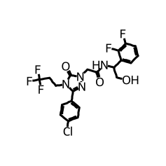 O=C(Cn1nc(-c2ccc(Cl)cc2)n(CCC(F)(F)F)c1=O)NC(CO)c1cccc(F)c1F